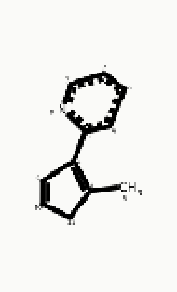 CC1=C(c2ccccn2)C=CC1